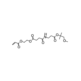 C=CC(=O)OCCOC(=O)CCC(=O)NCCC(=O)OC(C)(C)COC